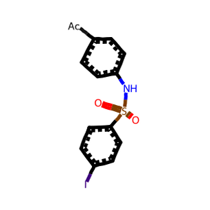 CC(=O)c1ccc(NS(=O)(=O)c2ccc(I)cc2)cc1